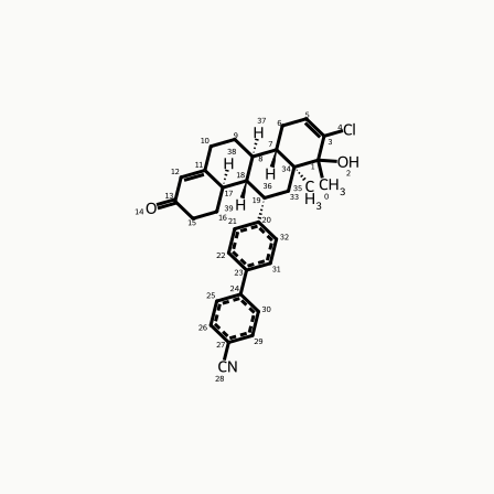 CC1(O)C(Cl)=CC[C@H]2[C@@H]3CCC4=CC(=O)CC[C@@H]4[C@H]3[C@@H](c3ccc(-c4ccc(C#N)cc4)cc3)C[C@@]21C